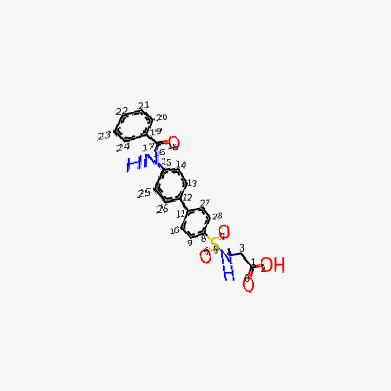 O=C(O)CNS(=O)(=O)c1ccc(-c2ccc(NC(=O)c3ccccc3)cc2)cc1